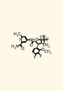 COc1c([C@H]2[C@@H](C(=O)Nc3cc(C)nc(C(N)=O)c3)O[C@@](C)(C(F)(F)F)[C@H]2C)ccc(F)c1F